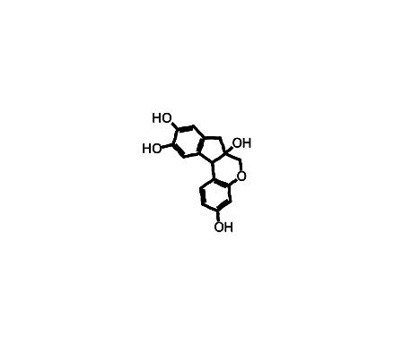 Oc1ccc2c(c1)OCC1(O)Cc3cc(O)c(O)cc3C21